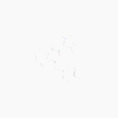 Cc1nonc1C(=O)Nc1cccnc1NCc1ccc(Cl)nc1